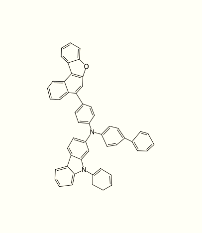 C1=CCCC(n2c3ccccc3c3ccc(N(c4ccc(-c5ccccc5)cc4)c4ccc(-c5cc6oc7ccccc7c6c6ccccc56)cc4)cc32)=C1